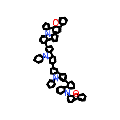 c1ccc(-n2c3cc(-c4ccc5c(c4)c4ccc(-c6cccc7c6c6ccccc6n7-c6cccc7c6oc6ccccc67)cc4n5-c4ccccc4)ccc3c3ccc(-c4cccc5c4c4ccccc4n5-c4ccccc4-c4cccc5c4oc4ccccc45)cc32)cc1